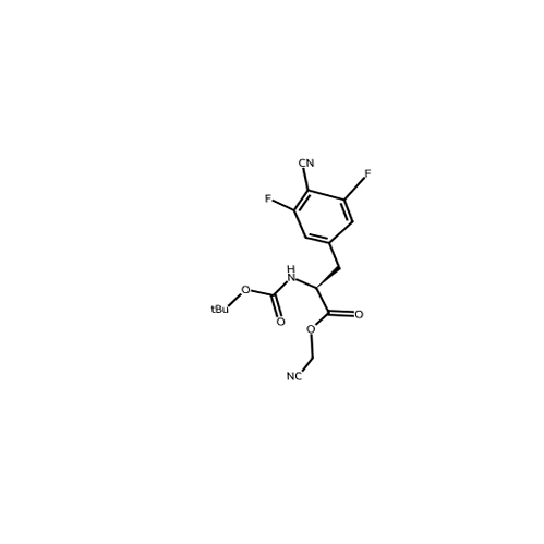 CC(C)(C)OC(=O)N[C@@H](Cc1cc(F)c(C#N)c(F)c1)C(=O)OCC#N